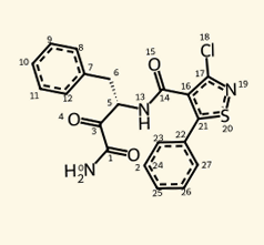 NC(=O)C(=O)[C@H](Cc1ccccc1)NC(=O)c1c(Cl)nsc1-c1ccccc1